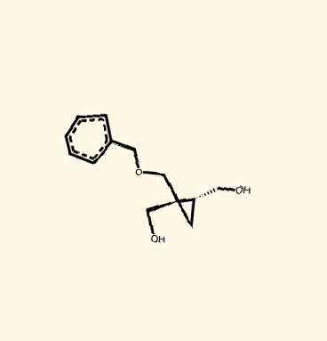 OC[C@@H]1C[C@]1(CO)COCc1ccccc1